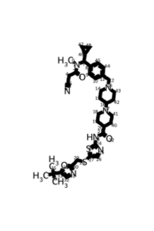 CN(C(=O)CC#N)C(c1ccc(CN2CCC(N3CCC(C(=O)Nc4ncc(SCc5ncc(C(C)(C)C)o5)s4)CC3)CC2)cc1)C1CC1